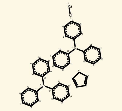 [CH]1C=CC=C1.[Cl][Ru].c1ccc(P(c2ccccc2)c2ccccc2)cc1.c1ccc(P(c2ccccc2)c2ccccc2)cc1